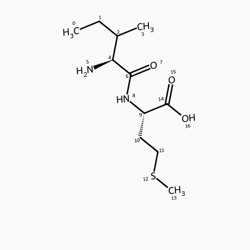 CCC(C)[C@H](N)C(=O)N[C@@H](CCSC)C(=O)O